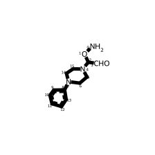 NOC(C=O)N1CCN(c2ccccc2)CC1